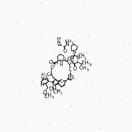 CCn1c(-c2cccnc2[C@H](C)OC)c2c3cc(ccc31)-c1csc(n1)C[C@H](NC(=O)C(C(C)C)N(C)C(=O)N1CCC[C@@H](N(C)C(=O)[C@@H]3CN3)C1)C(=O)N1CCC[C@H](N1)C(=O)OCC(C)(C)C2